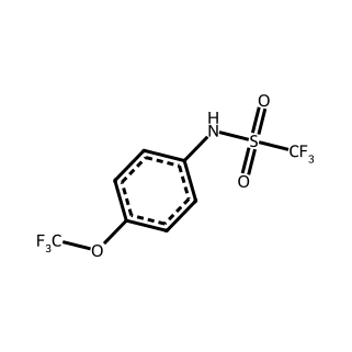 O=S(=O)(Nc1ccc(OC(F)(F)F)cc1)C(F)(F)F